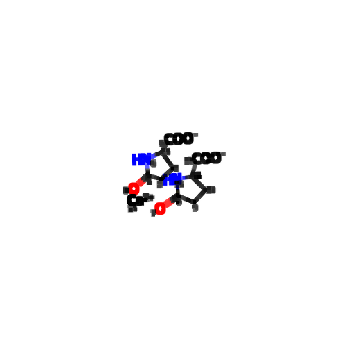 O=C1CCC(C(=O)[O-])N1.O=C1CCC(C(=O)[O-])N1.[Ca+2]